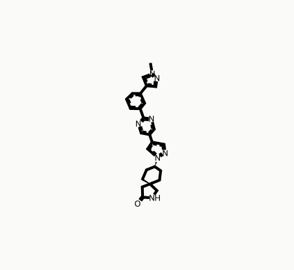 Cn1cc(-c2cccc(-c3ncc(-c4cnn([C@H]5CC[C@@]6(CC5)CNC(=O)C6)c4)cn3)c2)cn1